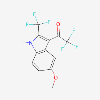 COc1ccc2c(c1)c(C(=O)C(F)(F)F)c(C(F)(F)F)n2C